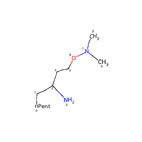 CCCCCCC(N)CCON(C)C